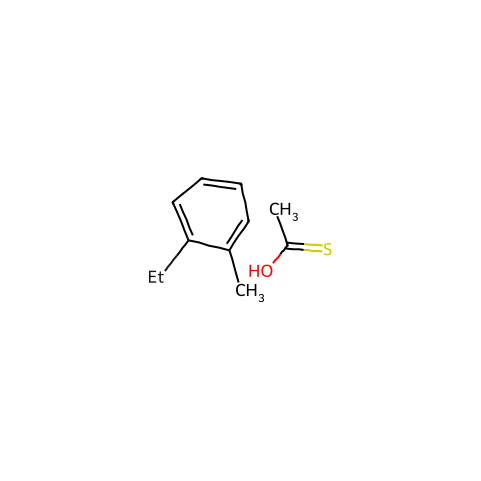 CC(O)=S.CCc1ccccc1C